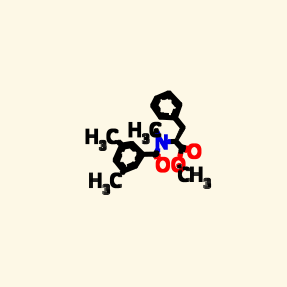 COC(=O)[C@H](Cc1ccccc1)N(C)C(=O)c1cc(C)cc(C)c1